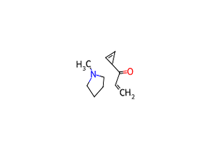 C=CC(=O)C1C=C1.CN1CCCC1